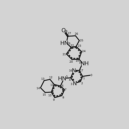 Cc1cnc(Nc2cccc3c2CCCC3)nc1Nc1ccc2c(c1)CCC(=O)N2